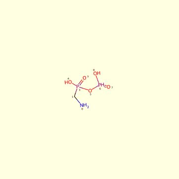 NCP(=O)(O)O[PH](=O)O